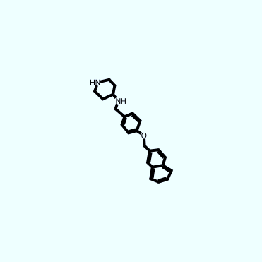 c1ccc2cc(COc3ccc(CNC4CCNCC4)cc3)ccc2c1